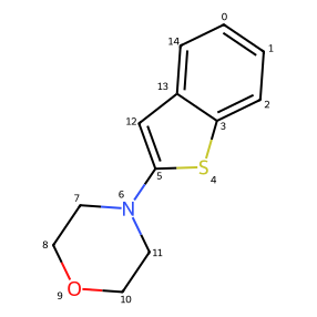 c1ccc2sc(N3CCOCC3)cc2c1